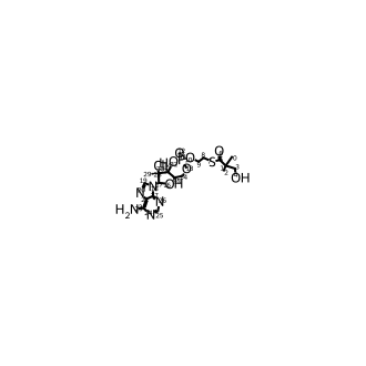 CC(C)(CO)C(=O)SCCO[P@]1(=O)OC[C@H]2O[C@@H](n3cnc4c(N)ncnc43)[C@](C)(Cl)[C@@H]2O1